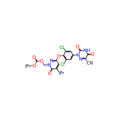 CC(C)OC(=O)OCn1nc(Oc2c(Cl)cc(-n3nc(C#N)c(=O)[nH]c3=O)cc2Cl)cc(C(C)C)c1=O